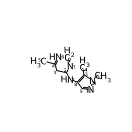 C=NC(CC(C)=N)Nc1cnn(C)c1C